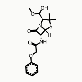 COC(O)[C@@H]1N2C(=O)[C@@H](NC(=O)COc3ccccc3)[C@H]2SC1(C)C